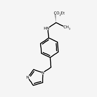 CCOC(=O)[C@H](C)Nc1ccc(Cn2ccnc2)cc1